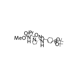 COC(=O)N[C@H](C(=O)N1CCC[C@H]1c1ncc(C2=CC=C(B3OC(C)(C)C(C)(C)O3)CC2)[nH]1)C(C)C